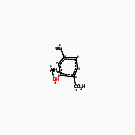 CC(C)(C)c1ccc(C(=O)O)cc1.[OH][AlH2]